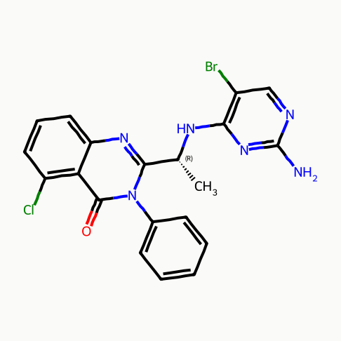 C[C@@H](Nc1nc(N)ncc1Br)c1nc2cccc(Cl)c2c(=O)n1-c1ccccc1